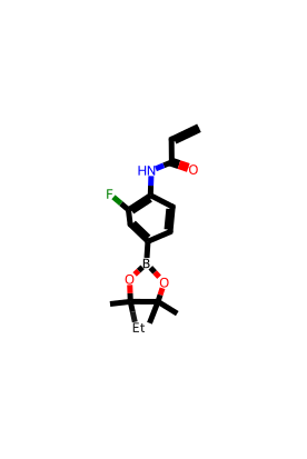 C=CC(=O)Nc1ccc(B2OC(C)(C)C(C)(CC)O2)cc1F